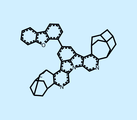 c1ccc2c(c1)oc1c(-c3cc4c5c6c(ncc5n5c7cnc8c(c7c(c3)c45)C3CC4CC5CC8CC54C3)C3CC4CC(C3)CC6C4)cccc12